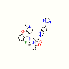 CCc1ncccc1Oc1cccc(F)c1CN1C[C@@H](C)N(C(=O)C(C)C)[C@@H](C(=O)NCc2ccc(-c3ncccn3)cc2)C1